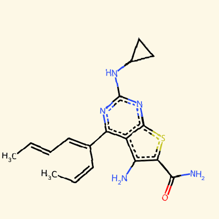 CC=C/C=C(\C=C/C)c1nc(NC2CC2)nc2sc(C(N)=O)c(N)c12